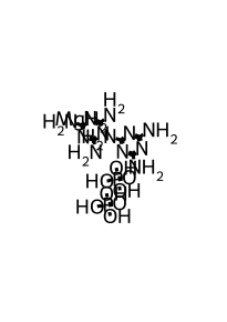 Nc1nc(N)nc(N)n1.Nc1nc(N)nc(N)n1.O=P(O)(O)O.O=P(O)(O)O.[MgH2]